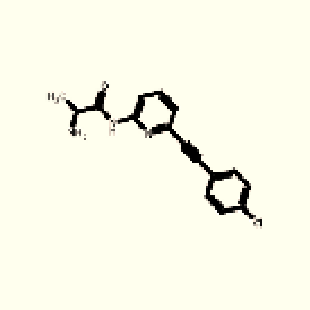 CC(N)C(=O)Nc1cccc(C#Cc2ccc(Cl)cc2)n1